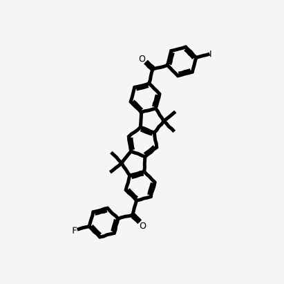 CC1(C)c2cc(C(=O)c3ccc(F)cc3)ccc2-c2cc3c(cc21)-c1ccc(C(=O)c2ccc(I)cc2)cc1C3(C)C